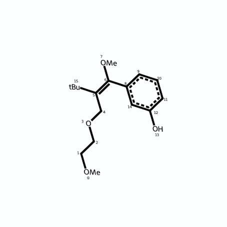 COCCOCC(=C(OC)c1cccc(O)c1)C(C)(C)C